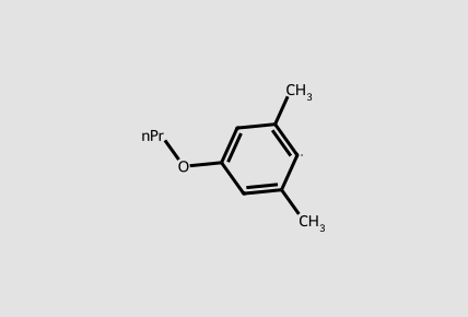 CCCOc1cc(C)[c]c(C)c1